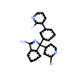 CCc1cc(C2(c3cccc(-c4cccnc4F)c3)N=C(N)c3ccccc32)ccn1